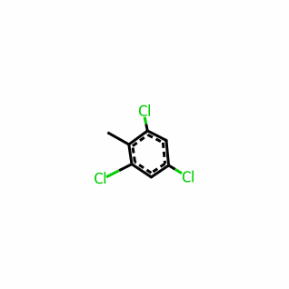 Cc1c(Cl)cc(Cl)cc1Cl